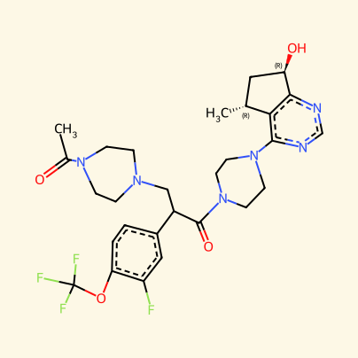 CC(=O)N1CCN(CC(C(=O)N2CCN(c3ncnc4c3[C@H](C)C[C@H]4O)CC2)c2ccc(OC(F)(F)F)c(F)c2)CC1